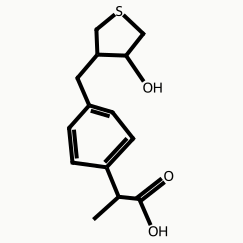 CC(C(=O)O)c1ccc(CC2CSCC2O)cc1